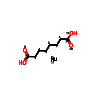 O=C(O)CCCCCCC(=O)O.[Ru]